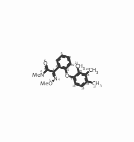 CNC(=O)/C(=N\OC)c1ccccc1Oc1ccc(C)c(C)c1C